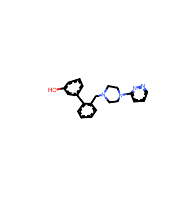 Oc1cccc(-c2ccccc2CN2CCN(c3cccnn3)CC2)c1